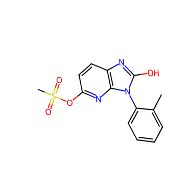 Cc1ccccc1-n1c(O)nc2ccc(OS(C)(=O)=O)nc21